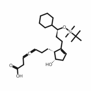 CC(C)(C)[Si](C)(C)O[C@@H](CCC1=CC[C@H](O)[C@@H]1CCC=C=CCC(=O)O)C1CCCCC1